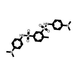 Cc1ccc(S(=O)(=O)Nc2ccc(N(C)C)cc2)cc1S(=O)(=O)Nc1ccc(N(C)C)cc1